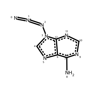 [N-]=[N+]=Nn1cnc2c(N)ncnc21